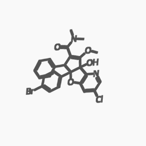 COC1=C(C(=O)N(C)C)C(c2ccccc2)C2(c3ccc(Br)cc3)Oc3cc(Cl)cnc3C12O